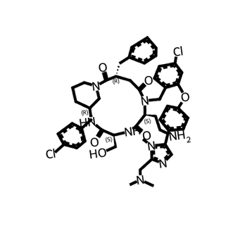 CN(C)Cc1ncc(-c2ccc(Oc3cc(Cl)ccc3CN3C(=O)C[C@@H](Cc4ccccc4)C(=O)N4CCC[C@@](Cc5ccc(Cl)cc5)(C4)NC(=O)[C@H](CO)NC(=O)[C@@H]3CCN)cc2)n1C